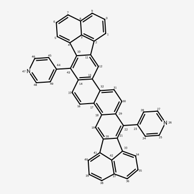 c1cc2c3c(cccc3c1)-c1c-2cc2c(ccc3c4cc5c(c(-c6ccncc6)c4ccc23)-c2cccc3cccc-5c23)c1-c1ccncc1